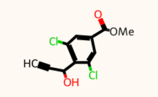 C#CC(O)c1c(Cl)cc(C(=O)OC)cc1Cl